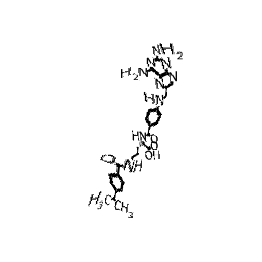 CC(C)c1ccc(C(=O)NCCC[C@H](NC(=O)c2ccc(NCc3cnc4nc(N)nc(N)c4n3)cc2)C(=O)O)cc1